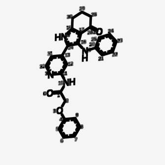 O=C(COc1ccccc1)Nc1cc(-c2[nH]c3c(c2Nc2ccccc2)C(=O)CCC3)ccn1